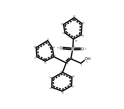 O=S(=O)(C(CO)=C(c1ccccc1)c1ccccc1)c1ccccc1